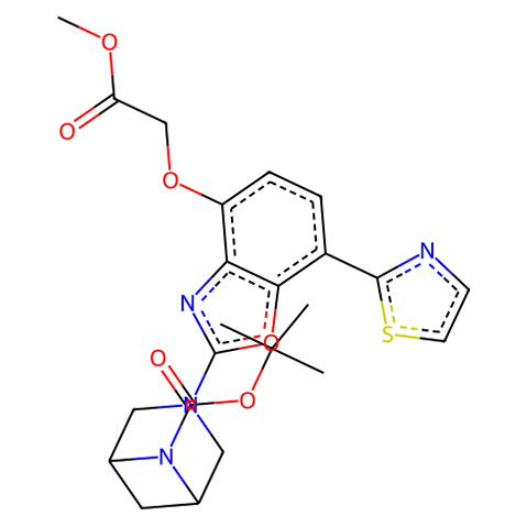 COC(=O)COc1ccc(-c2nccs2)c2oc(N3CC4CC(C3)N4C(=O)OC(C)(C)C)nc12